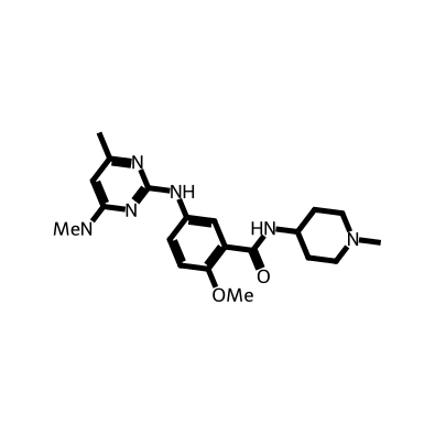 CNc1cc(C)nc(Nc2ccc(OC)c(C(=O)NC3CCN(C)CC3)c2)n1